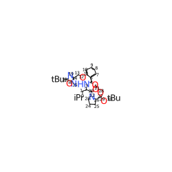 CC(C)C[C@@H](NC(=O)c1ccccc1OCc1noc(C(C)(C)C)n1)C(=O)N1CCC[C@@H]1C(=O)OC(C)(C)C